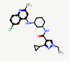 O=C(N[C@@H]1CCC[C@H](Nc2cc(C(F)(F)F)nc3ccc(Cl)cc23)C1)c1cn(CC(F)(F)F)nc1C1CC1